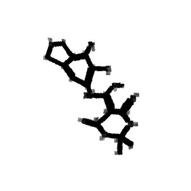 CSC(Nc1cc2c(c(Br)c1Cl)COC2)=C1C(=O)OC(C)(C)OC1=O